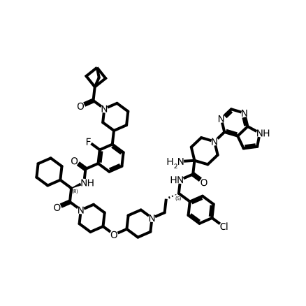 NC1(C(=O)N[C@@H](CCN2CCC(OC3CCN(C(=O)[C@H](NC(=O)c4cccc(C5CCCN(C(=O)C67CC(C6)C7)C5)c4F)C4CCCCC4)CC3)CC2)c2ccc(Cl)cc2)CCN(c2ncnc3[nH]ccc23)CC1